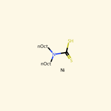 CCCCCCCCN(CCCCCCCC)C(=S)S.[Ni]